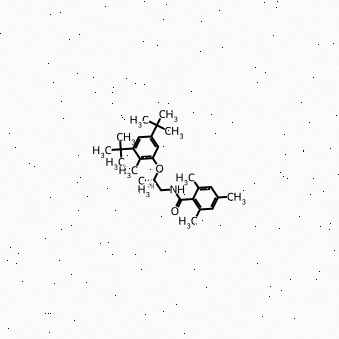 Cc1cc(C)c(C(=O)NC[C@H](C)Oc2cc(C(C)(C)C)cc(C(C)(C)C)c2C)c(C)c1